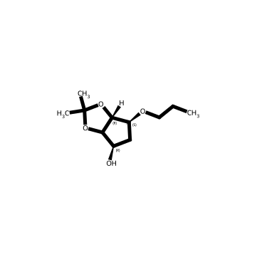 CCCO[C@H]1C[C@@H](O)C2OC(C)(C)O[C@@H]21